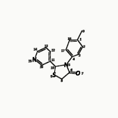 Cc1ccc(N2C(=O)CSC2c2cccnc2)cc1